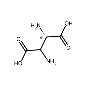 NC(C(=O)O)[C@H](N)C(=O)O